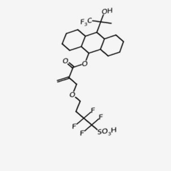 C=C(COCCC(F)(F)C(F)(F)S(=O)(=O)O)C(=O)OC1C2CCCCC2C(C(C)(O)C(F)(F)F)C2CCCCC21